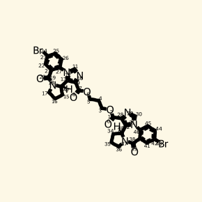 O=C(OCCCOC(=O)c1ncn2c1[C@@H]1CCCN1C(=O)c1cc(Br)ccc1-2)c1ncn2c1[C@@H]1CCCN1C(=O)c1cc(Br)ccc1-2